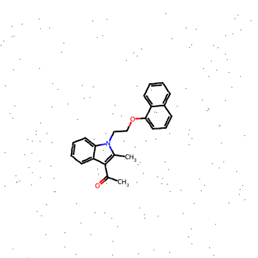 CC(=O)c1c(C)n(CCOc2cccc3ccccc23)c2ccccc12